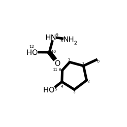 CC1CCC(O)CC1.NNC(=O)O